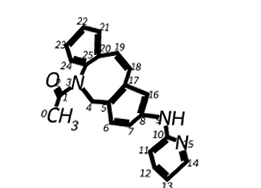 CC(=O)N1Cc2ccc(Nc3ccccn3)cc2/C=C\c2ccccc21